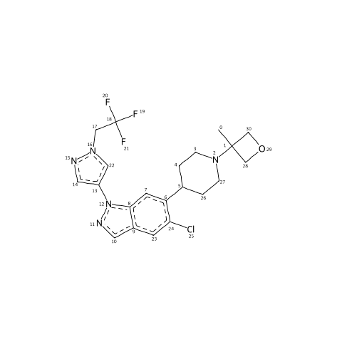 CC1(N2CCC(c3cc4c(cnn4-c4cnn(CC(F)(F)F)c4)cc3Cl)CC2)COC1